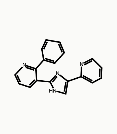 c1ccc(-c2ncccc2-c2nc(-c3ccccn3)c[nH]2)cc1